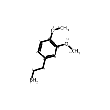 BCCc1ccc(OC)c(OC)c1